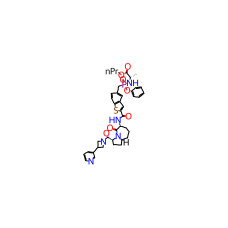 CCCOC(=O)[C@H](C)NP(=O)(Cc1ccc2sc(C(=O)N[C@H]3CCC[C@H]4CC[C@@H](C(=O)N5CC(c6cccnc6)C5)N4C3=O)cc2c1)Oc1ccccc1